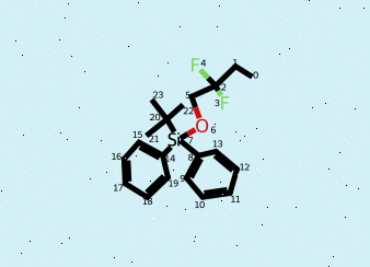 CCC(F)(F)CO[Si](c1ccccc1)(c1ccccc1)C(C)(C)C